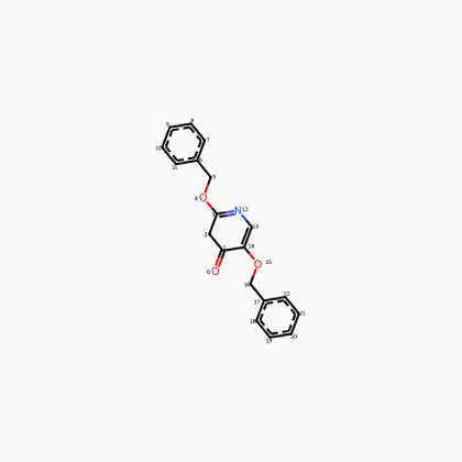 O=C1CC(OCc2ccccc2)=NC=C1OCc1ccccc1